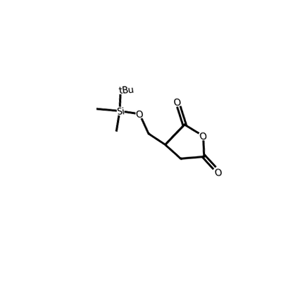 CC(C)(C)[Si](C)(C)OCC1CC(=O)OC1=O